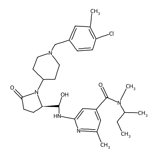 CCC(C)N(C)C(=O)c1cc(C)nc(NC(O)[C@H]2CCC(=O)N2C2CCN(Cc3ccc(Cl)c(C)c3)CC2)c1